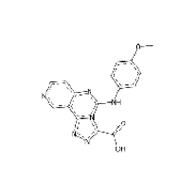 COc1ccc(Nc2nc3ccncc3c3nnc(C(=O)O)n23)cc1